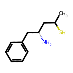 CC(S)C[C@H](N)Cc1ccccc1